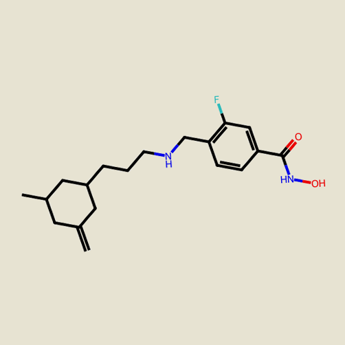 C=C1CC(C)CC(CCCNCc2ccc(C(=O)NO)cc2F)C1